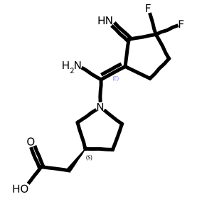 N=C1/C(=C(\N)N2CC[C@@H](CC(=O)O)C2)CCC1(F)F